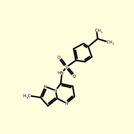 Cc1cc2nccc(NS(=O)(=O)c3ccc(C(C)C)cc3)n2n1